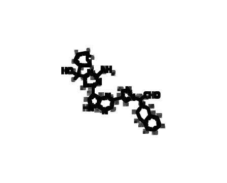 CC(O)(c1ccccc1)c1cc(-c2c[nH]c3ncc(-c4cnn(C(C=O)N5CCc6ccccc6C5)c4)nc23)nc(N)n1